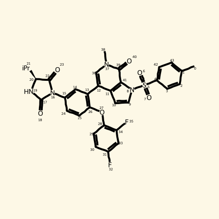 Cc1ccc(S(=O)(=O)n2ccc3c(-c4cc(N5C(=O)N[C@@H](C(C)C)C5=O)ccc4Oc4ccc(F)cc4F)cn(C)c(=O)c32)cc1